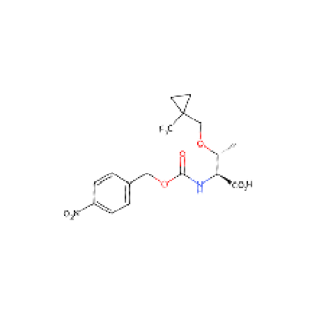 C[C@@H](OCC1(C(F)(F)F)CC1)[C@H](NC(=O)OCc1ccc([N+](=O)[O-])cc1)C(=O)O